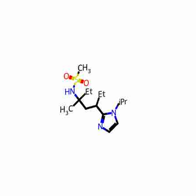 CCC(CC(C)(CC)NS(C)(=O)=O)c1nccn1C(C)C